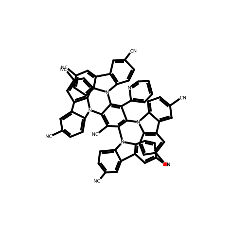 N#Cc1ccc2c(c1)c1cc(C#N)ccc1n2-c1c(C#N)c(-n2c3ccc(C#N)cc3c3cc(C#N)ccc32)c(-n2c3ccc(C#N)cc3c3cc(C#N)ccc32)c(-c2ccccn2)c1-n1c2ccc(C#N)cc2c2cc(C#N)ccc21